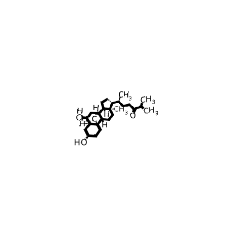 CC(C)C(=O)CC[C@@H](C)[C@H]1CC[C@H]2[C@@H]3CC(O)[C@@H]4C[C@H](O)CC[C@]4(C)[C@H]3CC[C@]12C